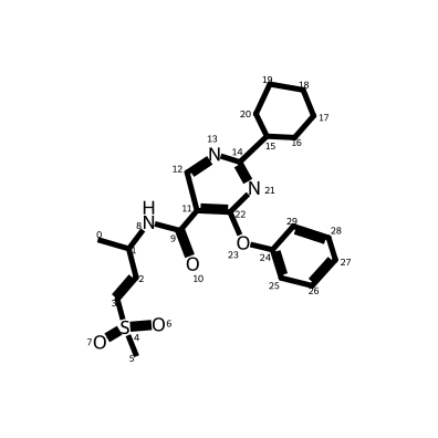 CC(/C=C/S(C)(=O)=O)NC(=O)c1cnc(C2CCCCC2)nc1Oc1ccccc1